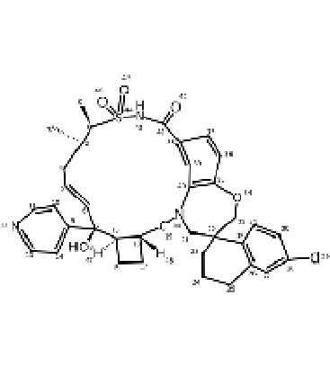 C[C@@H]1[C@@H](C)C/C=C/[C@@](O)(c2ccncc2)[C@@H]2CC[C@H]2CN2C[C@@]3(CCCc4cc(Cl)ccc43)COc3ccc(cc32)C(=O)NS1(=O)=O